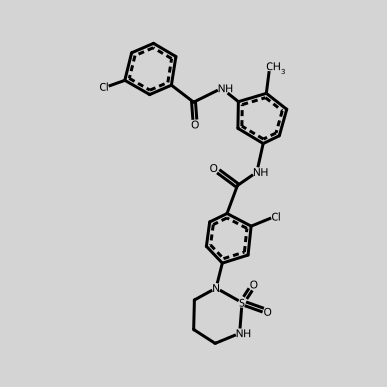 Cc1ccc(NC(=O)c2ccc(N3CCCNS3(=O)=O)cc2Cl)cc1NC(=O)c1cccc(Cl)c1